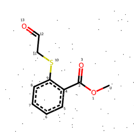 COC(=O)c1ccccc1SCC=O